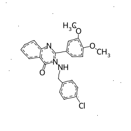 COc1ccc(-c2nc3ccccc3c(=O)n2NCc2ccc(Cl)cc2)cc1OC